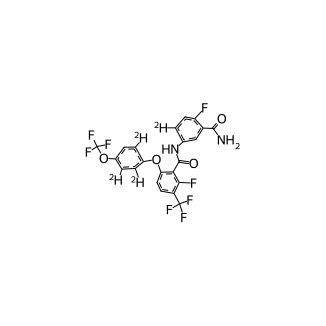 [2H]c1cc(F)c(C(N)=O)cc1NC(=O)c1c(Oc2c([2H])cc(OC(F)(F)F)c([2H])c2[2H])ccc(C(F)(F)F)c1F